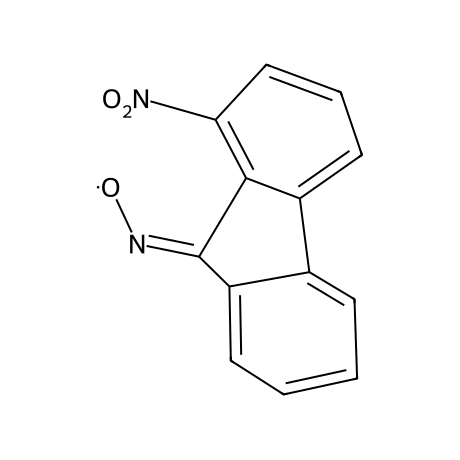 [O]N=C1c2ccccc2-c2cccc([N+](=O)[O-])c21